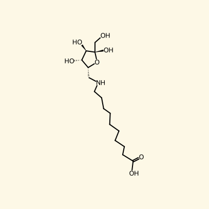 O=C(O)CCCCCCCCCNC[C@H]1O[C@@](O)(CO)[C@H](O)[C@H]1O